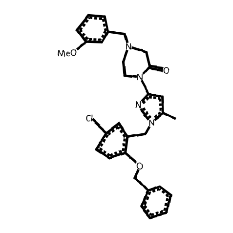 COc1cccc(CN2CCN(c3cc(C)n(Cc4cc(Cl)ccc4OCc4ccccc4)n3)C(=O)C2)c1